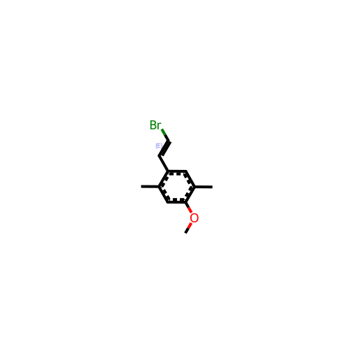 COc1cc(C)c(/C=C/Br)cc1C